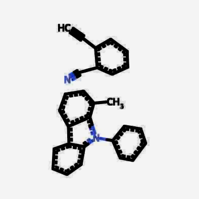 C#Cc1ccccc1C#N.Cc1cccc2c3ccccc3n(-c3ccccc3)c12